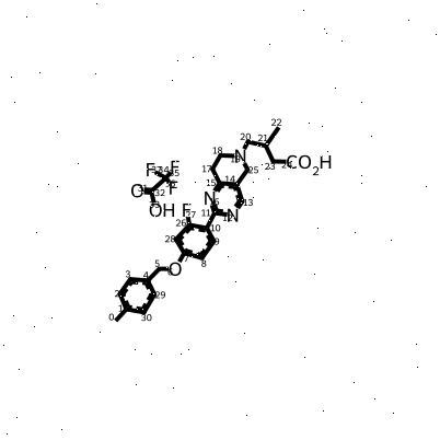 Cc1ccc(COc2ccc(-c3ncc4c(n3)CCN(CC(C)CC(=O)O)C4)c(F)c2)cc1.O=C(O)C(F)(F)F